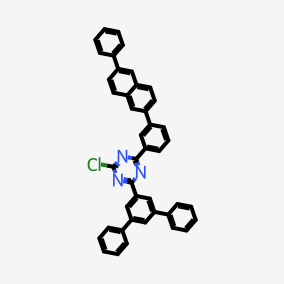 Clc1nc(-c2cccc(-c3ccc4cc(-c5ccccc5)ccc4c3)c2)nc(-c2cc(-c3ccccc3)cc(-c3ccccc3)c2)n1